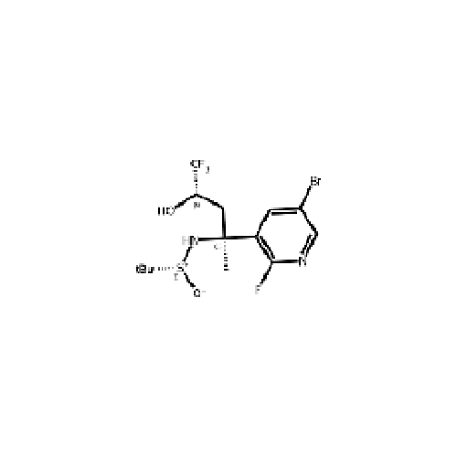 CC(C)(C)[S@@+]([O-])N[C@@](C)(C[C@H](O)C(F)(F)F)c1cc(Br)cnc1F